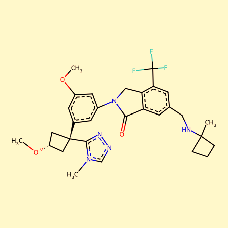 COc1cc(N2Cc3c(cc(CNC4(C)CCC4)cc3C(F)(F)F)C2=O)cc([C@]2(c3nncn3C)C[C@@H](OC)C2)c1